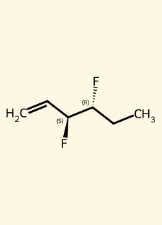 C=C[C@H](F)[C@H](F)CC